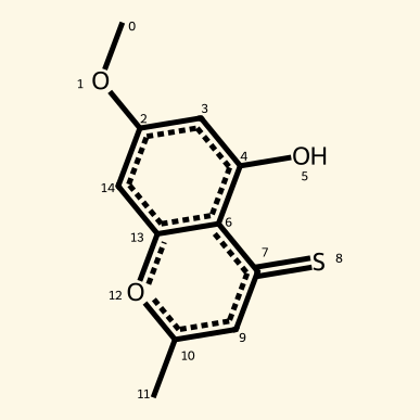 COc1cc(O)c2c(=S)cc(C)oc2c1